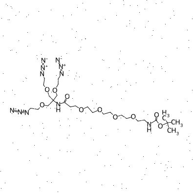 CC(C)(C)OC(=O)NCCOCCOCCOCCOCCC(=O)NC(COCCN=[N+]=[N-])(COCCN=[N+]=[N-])COCCN=[N+]=[N-]